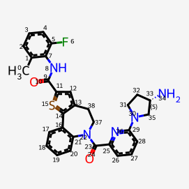 Cc1cccc(F)c1NC(=O)c1cc2c(s1)-c1ccccc1N(C(=O)c1cccc(N3CC[C@H](N)C3)n1)CC2